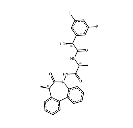 C[C@H](NC(=O)[C@@H](O)c1cc(F)cc(F)c1)C(=O)NN1C(=O)[C@H](C)c2ccccc2-c2ccccc21